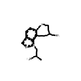 CC(N)Cn1ncc2ccc3c(c21)CC(N)CO3